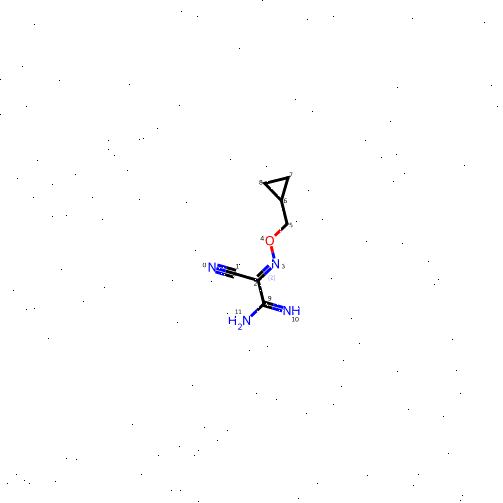 N#C/C(=N\OCC1CC1)C(=N)N